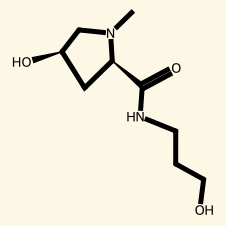 CN1C[C@H](O)C[C@@H]1C(=O)NCCCO